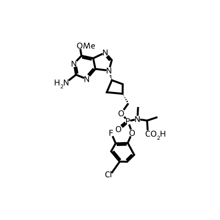 COc1nc(N)nc2c1ncn2[C@H]1C[C@@H](COP(=O)(Oc2ccc(Cl)cc2F)N(C)C(C)C(=O)O)C1